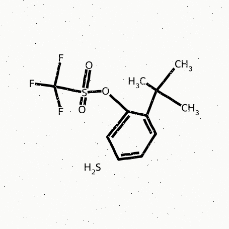 CC(C)(C)c1ccccc1OS(=O)(=O)C(F)(F)F.S